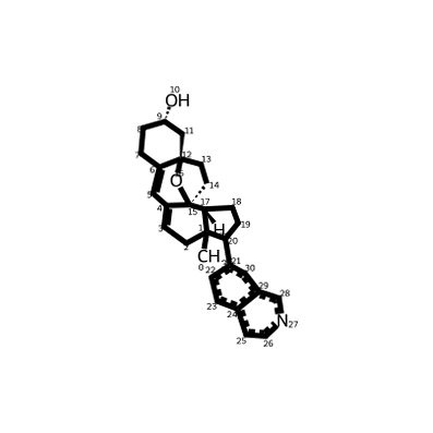 CC12CC=C3C=C4CC[C@H](O)C[C@]45CC[C@]3(O5)[C@@H]1CCC2c1ccc2ccncc2c1